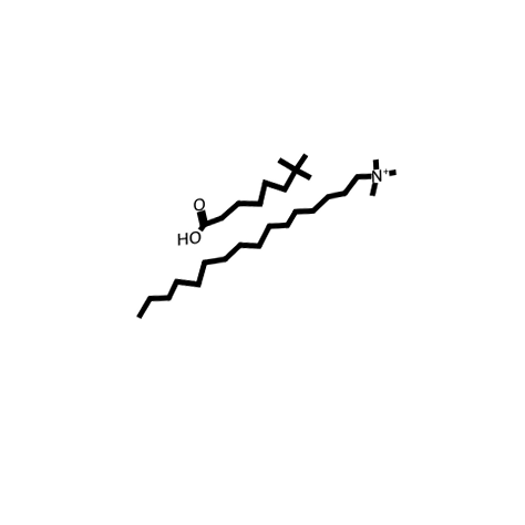 CC(C)(C)CCCCCC(=O)O.CCCCCCCCCCCCCCCC[N+](C)(C)C